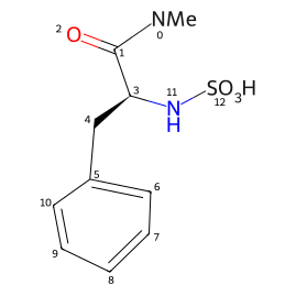 CNC(=O)[C@H](Cc1ccccc1)NS(=O)(=O)O